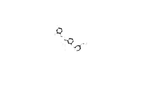 Cl.NCc1ccnc(Oc2cccc(C(=O)NCc3ccc(F)cc3F)c2)c1